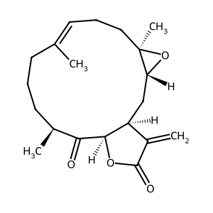 C=C1C(=O)O[C@H]2C(=O)[C@@H](C)CCC/C(C)=C/CC[C@@]3(C)O[C@@H]3C[C@@H]12